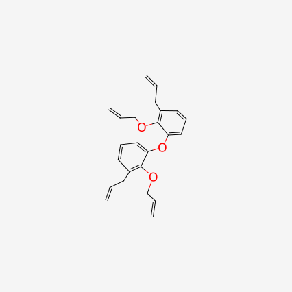 C=CCOc1c(CC=C)cccc1Oc1cccc(CC=C)c1OCC=C